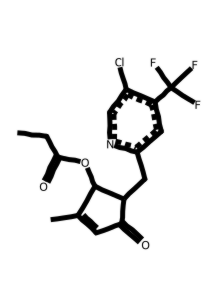 CCC(=O)OC1C(C)=CC(=O)C1Cc1cc(C(F)(F)F)c(Cl)cn1